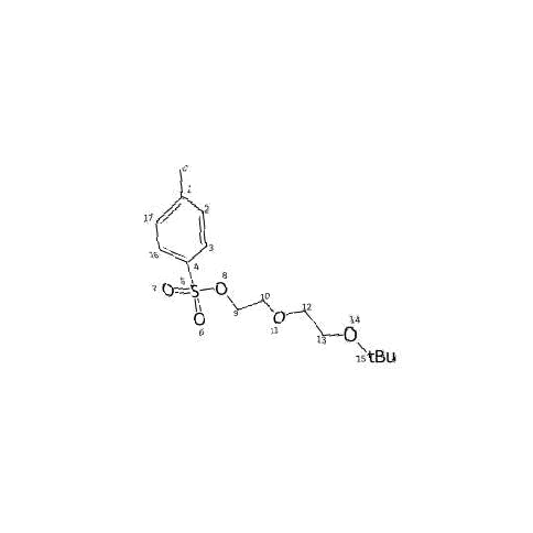 Cc1ccc(S(=O)(=O)OCCOCCOC(C)(C)C)cc1